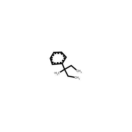 [CH2]C(CC)(CC)c1ccccc1